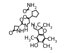 Cc1c(C)c2c(c(C)c1O)C(CC[C@H](NC(=O)[C@@H]1CC(=O)N1)C(=O)C1CCC[C@H]1C(N)=O)C(C)(C)O2